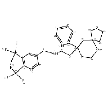 FC(F)(F)c1cc(CNCCC2(c3ccccn3)CCOC3(CCCC3)C2)cnc1C(F)(F)F